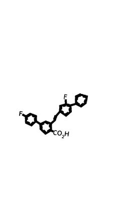 O=C(O)c1ccc(-c2ccc(F)cc2)cc1C=Cc1ccc(-c2ccccc2)c(F)c1